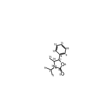 CC(C)N1C(=O)OC(c2ccccc2)C1C